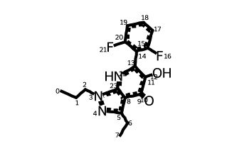 CCCn1nc(CC)c2c(=O)c(O)c(-c3c(F)cccc3F)[nH]c21